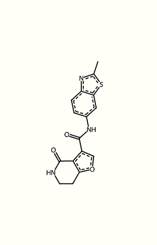 Cc1nc2ccc(NC(=O)c3coc4c3C(=O)NCC4)cc2s1